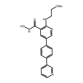 COCCNc1ncc(-c2ccc(-c3cccnc3)cc2)cc1C(=O)NO